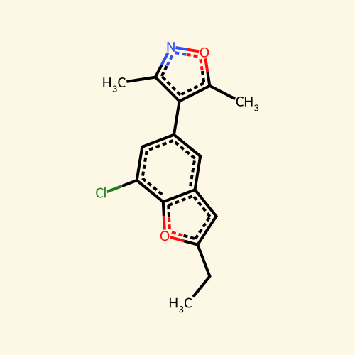 CCc1cc2cc(-c3c(C)noc3C)cc(Cl)c2o1